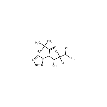 CC(Cl)C(Cl)(Cl)C(O)C(C(=O)C(C)(C)C)n1cncn1